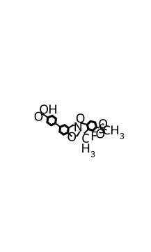 CCc1c(C(=O)N2CCOc3ccc(-c4ccc(C(=O)O)cc4)cc3C2)ccc(S(C)(=O)=O)c1F